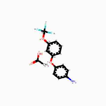 CC(=O)O.Nc1ccc(Oc2cccc(OC(F)(F)F)c2)cc1